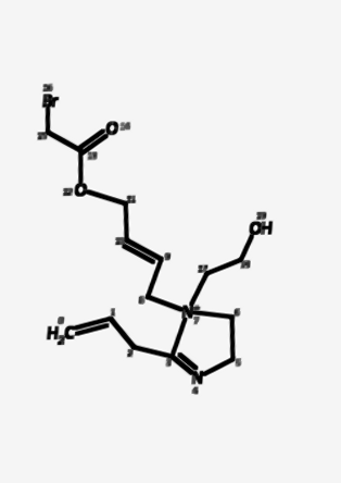 C=CCC1=NCC[N+]1(CC=CCOC(=O)CBr)CCO